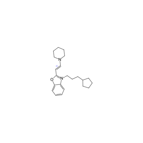 C(=C\N1CCCCC1)/c1oc2ccccc2[n+]1CCCC1CCCC1